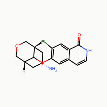 N[C@H]1C[C@H]2COC[C@@H](C1)C2Oc1cc2cc[nH]c(=O)c2cc1Cl